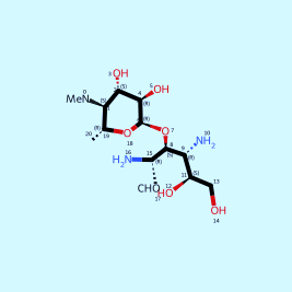 CN[C@H]1[C@H](O)[C@@H](O)[C@@H](O[C@@H]([C@H](N)[C@H](O)CO)[C@@H](N)C=O)O[C@@H]1C